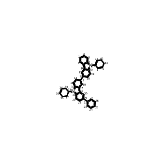 C1=CC(n2c3ccccc3c3cc(-c4ccc5c(c4)c4cc(-c6ccccc6)ccc4n5C4CC=CCC4)ccc32)=CCC1